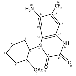 CC(=O)OC1CCCCC1n1c(=O)c(=O)[nH]c2cc(C(F)(F)F)c(N)cc21